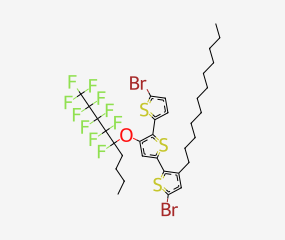 CCCCCCCCCCCCc1cc(Br)sc1-c1cc(OC(F)(CCCC)C(F)(F)C(F)(F)C(F)(F)C(F)(F)F)c(-c2ccc(Br)s2)s1